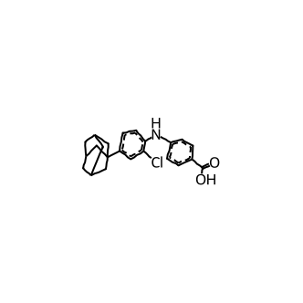 O=C(O)c1ccc(Nc2ccc(C34CC5CC(CC(C5)C3)C4)cc2Cl)cc1